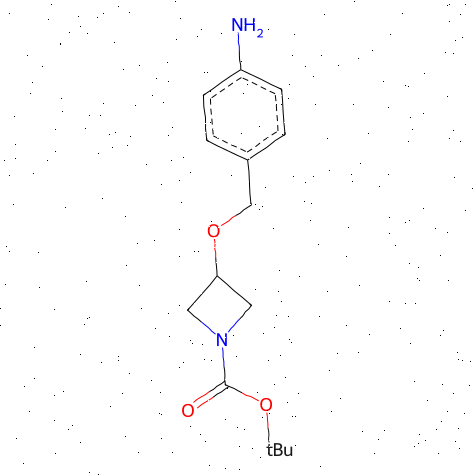 CC(C)(C)OC(=O)N1CC(OCc2ccc(N)cc2)C1